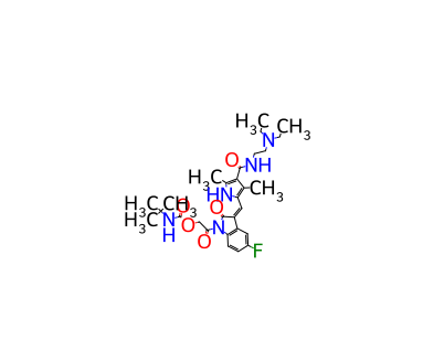 CCN(CC)CCNC(=O)c1c(C)[nH]c(/C=C2\C(=O)N(C(=O)COC(=O)NC(C)(C)C)c3ccc(F)cc32)c1C